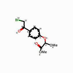 COC(=O)C(OC)Oc1ccc(C(=O)CBr)cc1